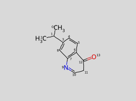 CC(C)c1ccc2c(c1)N=CCC2=O